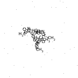 C=CCCc1sc2ncnc3c2c1-c1c(C)c(Cl)c(c(Cl)c1C)O[C@H](CN1CCN(C)CC1)COc1ccc(OCc2ccnc(-c4ccccc4OC)n2)c(c1)C[C@H](C(=O)O)O3